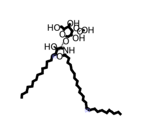 CCCCCCCC/C=C\CCCCCCCCCCCCCC(=O)N[C@@H](COC1OC(CO)C(O)C(OOO)C1O)[C@H](O)/C=C/CCCCCCCCCCCCC